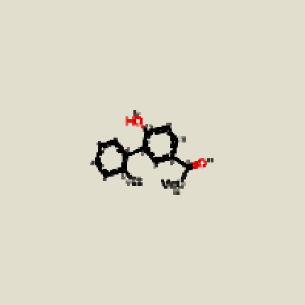 CCc1ccccc1-c1cc(C(=O)OC)ccc1O